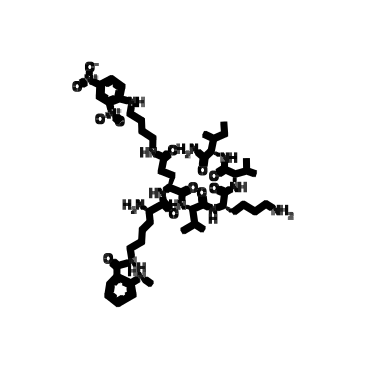 CCC(C)[C@H](NC(=O)[C@@H](NC(=O)[C@H](CCCCN)NC(=O)[C@@H](NC(=O)[C@H](CCC(=O)NCCCCNc1ccc([N+](=O)[O-])cc1[N+](=O)[O-])NC(=O)[C@@H](N)CCCCNC(=O)c1ccccc1NC)C(C)C)C(C)C)C(N)=O